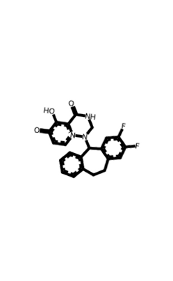 O=C1NCN(C2c3ccccc3CCc3cc(F)c(F)cc32)n2ccc(=O)c(O)c21